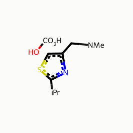 CNCc1csc(C(C)C)n1.O=C(O)O